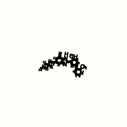 COc1ncccc1-c1ccc(O)c(-c2nc3cc(N4CC5(CN(C)C5)C4)cc(C)c3[nH]2)c1